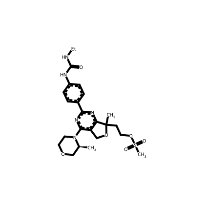 CCNC(=O)Nc1ccc(-c2nc(N3CCOC[C@@H]3C)c3c(n2)C(C)(CCOS(C)(=O)=O)OC3)cc1